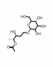 CC(=O)O[C@H](C)[C@@H](O)CCO[C@H]1OC(CO)[C@H](O)C(O)C1O